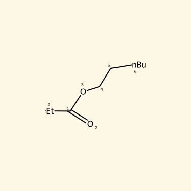 C[CH]C(=O)OCCCCCC